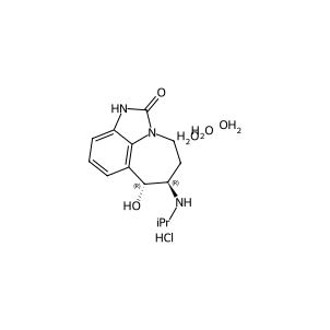 CC(C)N[C@@H]1CCn2c(=O)[nH]c3cccc(c32)[C@H]1O.Cl.O.O.O